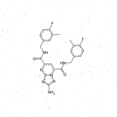 Cc1cc(CNC(=O)c2cc(C(=O)NCc3ccc(F)c(C)c3)n3nc(N)nc3n2)ccc1F